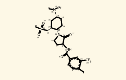 Cc1ccc(C(=O)NC2CCN([C@H]3CC[C@@H](N(C)C(C)C)C[C@H]3CS(C)(=O)=O)C2=O)cc1C(F)(F)F